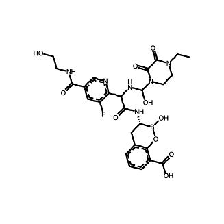 CCN1CCN(C(O)NC(C(=O)N[C@H]2Cc3cccc(C(=O)O)c3OB2O)c2ncc(C(=O)NCCO)cc2F)C(=O)C1=O